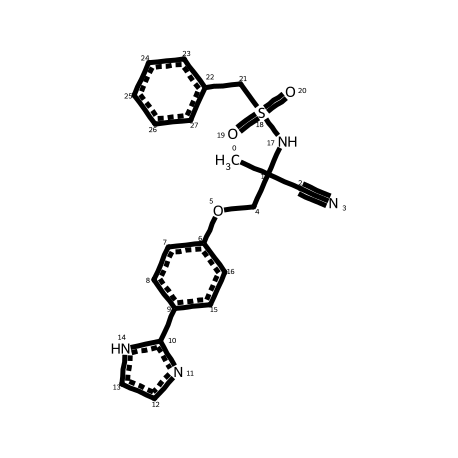 CC(C#N)(COc1ccc(-c2ncc[nH]2)cc1)NS(=O)(=O)Cc1ccccc1